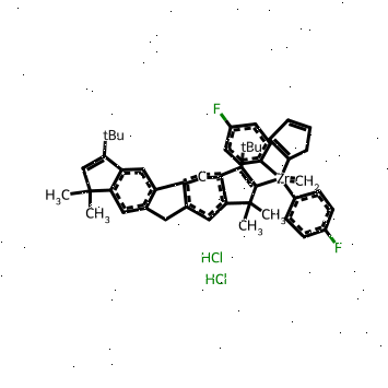 Cl.Cl.[CH2]=[Zr]([C]1=CC=CC1)([C]1=C(C(C)(C)C)c2cc3c(cc2C1(C)C)Cc1cc2c(cc1-3)C(C(C)(C)C)=CC2(C)C)([c]1ccc(F)cc1)[c]1ccc(F)cc1